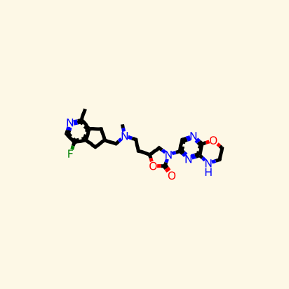 Cc1ncc(F)c2c1CC(CN(C)CCC1CN(c3cnc4c(n3)NCCO4)C(=O)O1)C2